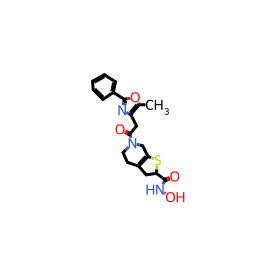 Cc1oc(-c2ccccc2)nc1CC(=O)N1CCC2=C(C1)SC(C(=O)NO)C2